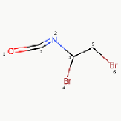 O=C=NC(Br)CBr